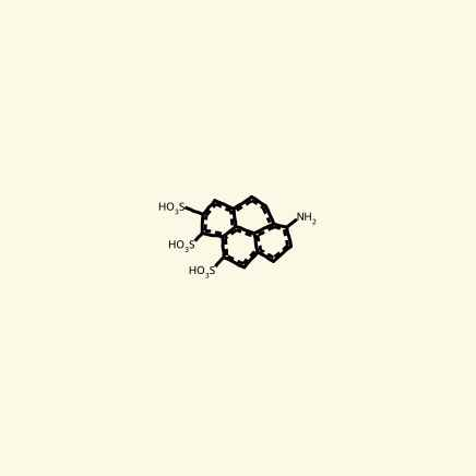 Nc1ccc2cc(S(=O)(=O)O)c3c(S(=O)(=O)O)c(S(=O)(=O)O)cc4ccc1c2c43